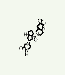 O=C1CN([C@@H]2C[C@H]3CCC[C@@]3(C(=O)N3CCc4ncc(C(F)(F)F)cc4C3)C2)CCN1